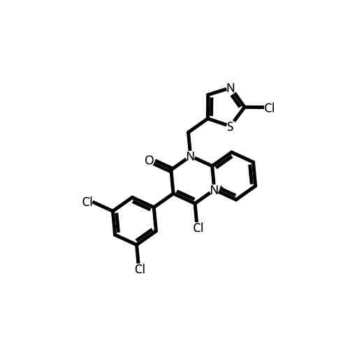 O=c1c(-c2cc(Cl)cc(Cl)c2)c(Cl)[n+]2ccccc2n1Cc1cnc(Cl)s1